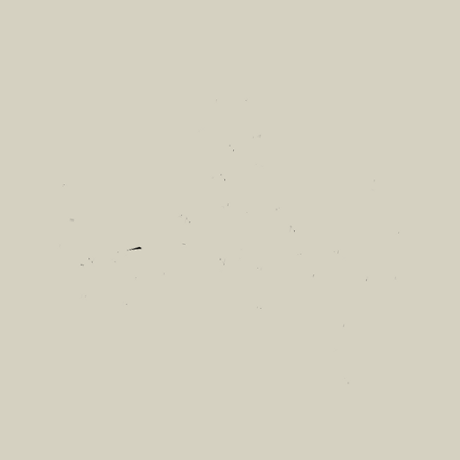 Cc1c(F)ccc2cc(C3CC3)cc(-c3nc(C)c4c(N5CC6CCC(C5)N6)nc(OC[C@@]56CCCN5CC(F)C6)nc4c3F)c12